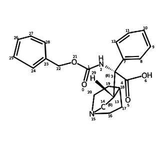 O=C(N[C@@](C(=O)O)(c1ccccc1)[C@H]1CN2CCC1CC2)OCc1ccccc1